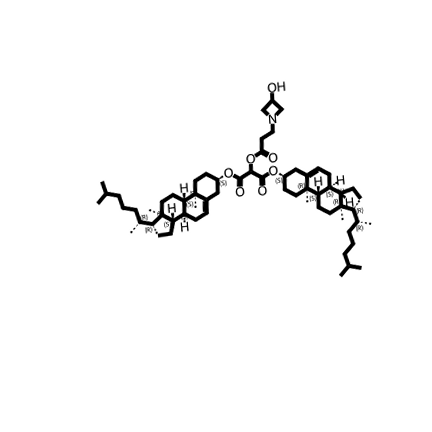 CC(C)CCC[C@@H](C)[C@H]1CC[C@H]2[C@@H]3CC=C4C[C@@H](OC(=O)C(OC(=O)CCN5CC(O)C5)C(=O)O[C@H]5CC[C@@]6(C)C(=CC[C@H]7[C@@H]8CC[C@H]([C@H](C)CCCC(C)C)[C@@]8(C)CC[C@@H]76)C5)CC[C@]4(C)[C@H]3CC[C@]12C